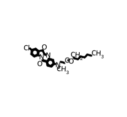 C=C(CCCCCC)OOCCN(C)c1ccc2c(=O)n3c(nc2c1)C(=O)c1cc(Cl)ccc1-3